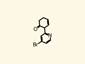 O=C1CCC=CC1c1cc(Br)ccn1